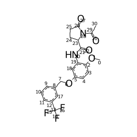 COc1ccc(OCc2cccc(C(F)(F)F)c2)cc1NC(=O)C1CCC(=O)N1C(C)=O